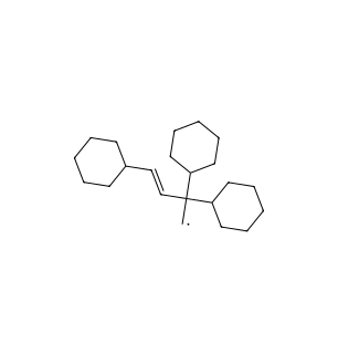 [CH2]C(C=CC1CCCCC1)(C1CCCCC1)C1CCCCC1